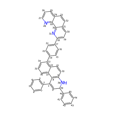 C1=C(c2ccccc2)c2c(ccc3c(-c4ccc(-c5ccc6ccc7cccnc7c6n5)cc4)cccc23)NC1c1ccccc1